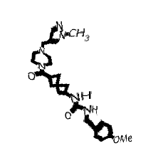 COc1ccc(CNC(=O)NC2CC3(C2)CC(C(=O)N2CCN(Cc4cnn(C)c4)CC2)C3)cc1